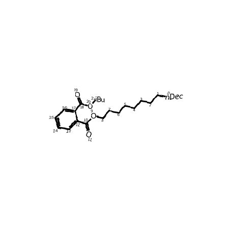 CCCCCCCCCCCCCCCCCCOC(=O)c1ccccc1C(=O)OC(C)CC